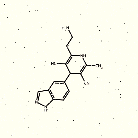 CC1=C(C#N)C(c2ccc3[nH]ncc3c2)C(C#N)=C(CCN)N1